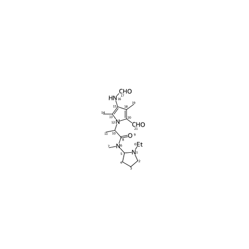 CCN1CCCC1N(C)C(=O)C(C)n1c(C)c(NC=O)c(C)c1C=O